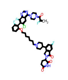 C=C(F)C(=O)N1CCN(c2ncnc3c(F)c(-c4c(F)cccc4OCCCCCCCN4CCC(c5cc(F)cc6c5CN(C5CCC(=O)NC5=O)C6=O)CC4)c(Cl)cc23)CC1